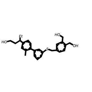 CCC(CCO)c1ccc(-c2cccc(SCc3ccc(CO)c(CO)c3)c2)c(C)c1